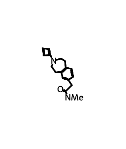 CNC(=O)Cc1ccc2c(c1)CCN(C1=CC=C1)CC2